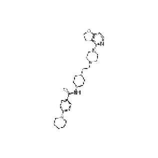 O=C(NC1CCC(CCN2CCN(c3nccc4c3CCO4)CC2)CC1)c1ccc(N2CCCCC2)cc1